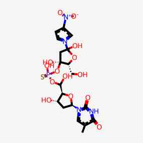 Cc1cn([C@H]2C[C@H](O)[C@@H](C(O)OP(O)(=S)O[C@@]3(O)CC(O)(n4ccc([N+](=O)[O-])c4)O[C@@H]3CO)O2)c(=O)[nH]c1=O